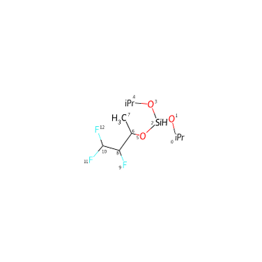 CC(C)O[SiH](OC(C)C)OC(C)C(F)C(F)F